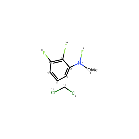 CON(F)c1cccc(F)c1F.ClCCl